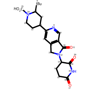 CC(C)(C)C1CC(c2cc3c(cn2)C(=O)N(C2CCC(=O)NC2=O)C3)CCN1C(=O)O